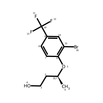 C[C@@H](CCO)Oc1ccc(C(F)(F)F)cc1Br